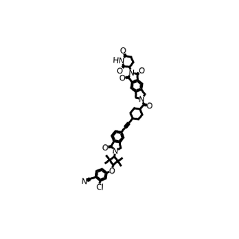 CC1(C)C(Oc2ccc(C#N)c(Cl)c2)C(C)(C)C1N1Cc2cc(C#CC3CCC(C(=O)N4Cc5cc6c(cc5C4)C(=O)N(C4CCC(=O)NC4=O)C6=O)CC3)ccc2C1=O